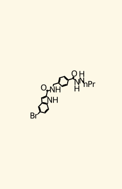 CCCNNC(=O)c1ccc(CNC(=O)c2cc3cc(Br)ccc3[nH]2)cc1